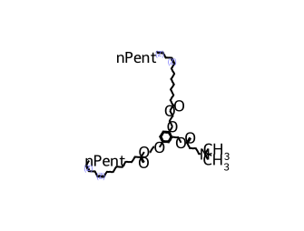 CCCCC/C=C\C/C=C\CCCCCCCC(=O)OCCOc1ccc(OCCOC(=O)CCCCCCC/C=C\C/C=C\CCCCC)c(COC(=O)CCCN(C)C)c1